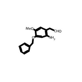 COc1cc(CC=O)c(N)cc1OCc1ccccc1